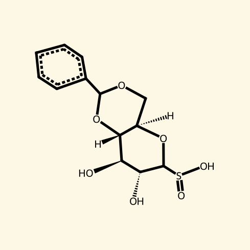 O=S(O)C1O[C@@H]2COC(c3ccccc3)O[C@H]2[C@H](O)[C@H]1O